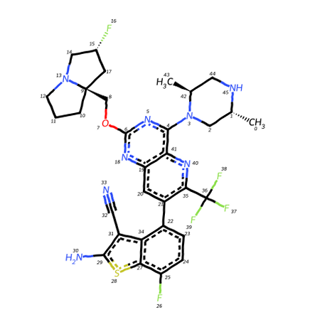 C[C@@H]1CN(c2nc(OC[C@@]34CCCN3C[C@H](F)C4)nc3cc(-c4ccc(F)c5sc(N)c(C#N)c45)c(C(F)(F)F)nc23)[C@@H](C)CN1